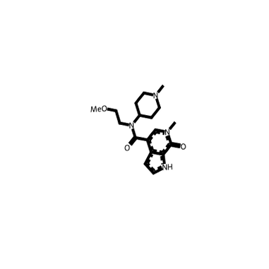 COCCN(C(=O)c1cn(C)c(=O)c2[nH]ccc12)C1CCN(C)CC1